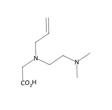 C=CCN(CCN(C)C)CC(=O)O